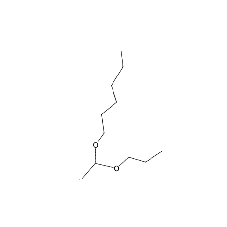 [CH2]C(OCCC)OCCCCCC